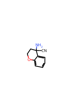 N#CC1(N)CCOc2ccccc21